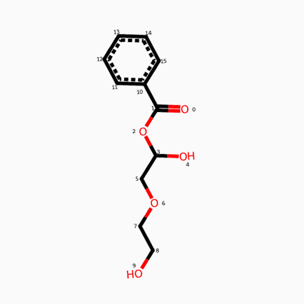 O=C(OC(O)COCCO)c1ccccc1